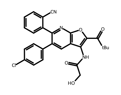 CC(C)(C)C(=O)c1oc2nc(-c3ccccc3C#N)c(-c3ccc(Cl)cc3)cc2c1NC(=O)CO